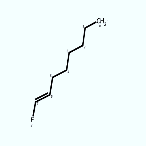 [CH2]CCCCC/C=C/F